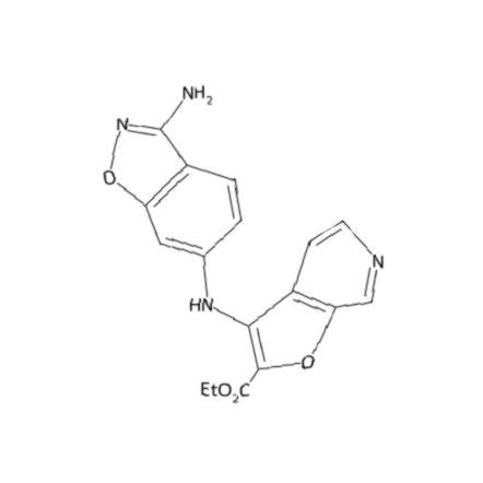 CCOC(=O)c1oc2cnccc2c1Nc1ccc2c(N)noc2c1